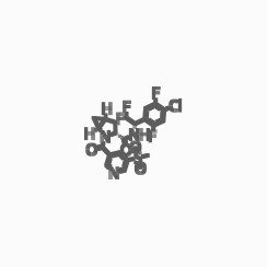 CS(=O)(=O)c1cncc(C(=O)N2[C@@H](C(=O)N[C@@H](c3cc(F)c(Cl)cc3F)C(F)F)C[C@H]3C[C@H]32)c1